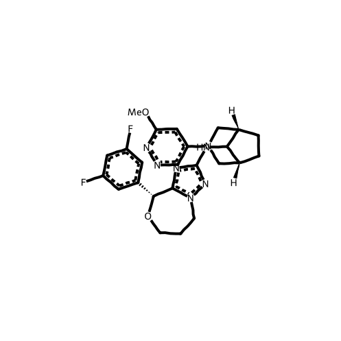 COc1cc(N2C[C@H]3CC[C@@H](C2)C3Nc2nc3n(n2)CCCO[C@@H]3c2cc(F)cc(F)c2)cnn1